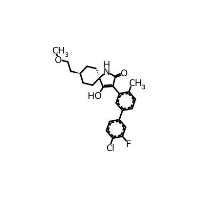 COCC[C@H]1CC[C@]2(CC1)NC(=O)C(c1cc(-c3ccc(Cl)c(F)c3)ccc1C)=C2O